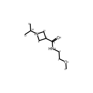 COCCNC(=O)C1CN(C(C)C)C1